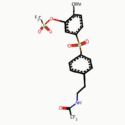 COc1ccc(S(=O)(=O)c2ccc(CCNC(=O)C(F)(F)F)cc2)cc1OS(=O)(=O)C(F)(F)F